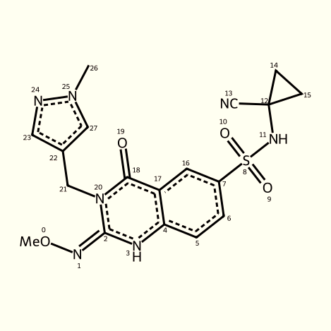 CON=c1[nH]c2ccc(S(=O)(=O)NC3(C#N)CC3)cc2c(=O)n1Cc1cnn(C)c1